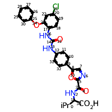 CC(C)C(NC(=O)c1ncc(-c2ccc(NC(=O)Nc3ccc(Cl)cc3Oc3ccccc3)cc2)o1)C(=O)O